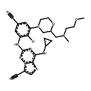 COCCN(C)CC1CN(c2cc(C#N)cc(Nc3nc(NC4CC4)c4ncc(C#N)n4n3)c2Cl)CCO1